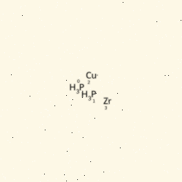 P.P.[Cu].[Zr]